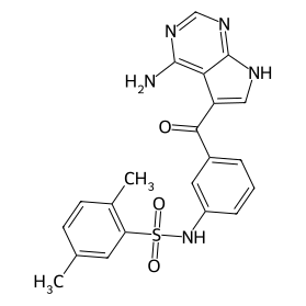 Cc1ccc(C)c(S(=O)(=O)Nc2cccc(C(=O)c3c[nH]c4ncnc(N)c34)c2)c1